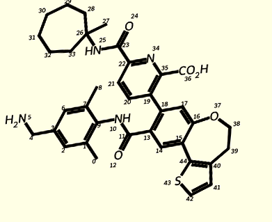 Cc1cc(CN)cc(C)c1NC(=O)c1cc2c(cc1-c1ccc(C(=O)NC3(C)CCCCCC3)nc1C(=O)O)OCCc1ccsc1-2